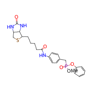 COP(=O)(Cc1ccc(NC(=O)CCCCC2SCC3NC(=O)NC32)cc1)Oc1ccccc1